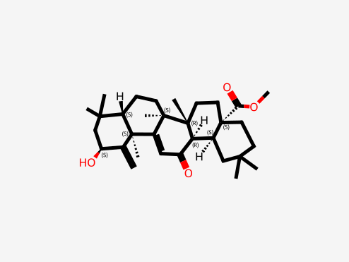 C=C1[C@@H](O)CC(C)(C)[C@@H]2CC[C@]3(C)C(=CC(=O)[C@@H]4[C@@H]5CC(C)(C)CC[C@]5(C(=O)OC)CC[C@]43C)[C@@]12C